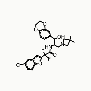 CC1(C)CN(CC(NC(=O)C(F)(F)c2cc3cc(Cl)ccc3o2)C(O)c2ccc3c(c2)OCCO3)C1